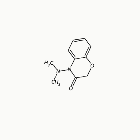 CN(C)N1C(=O)COc2ccccc21